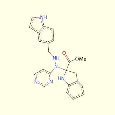 COC(=O)C1(N(NCc2ccc3[nH]ccc3c2)c2ccncn2)Cc2ccccc2N1